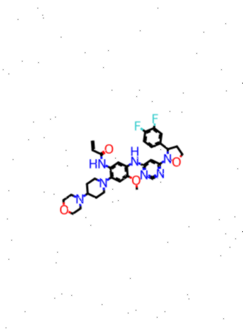 C=CC(=O)Nc1cc(Nc2cc(N3OCCC3c3ccc(F)c(F)c3)ncn2)c(OC)cc1N1CCC(N2CCOCC2)CC1